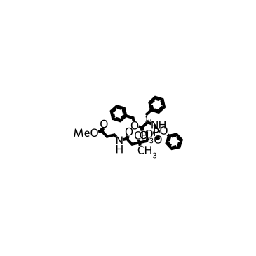 COC(=O)CCNC(=O)CC(C)(C)COP(=O)(N[C@@H](Cc1ccccc1)C(=O)OCc1ccccc1)Oc1ccccc1